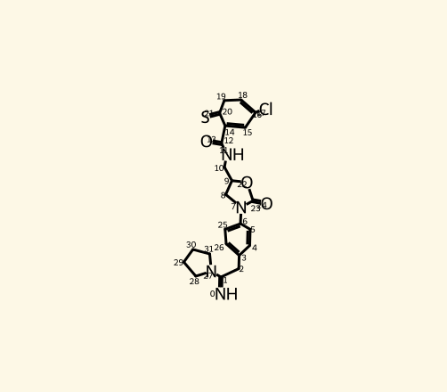 N=C(Cc1ccc(N2CC(CNC(=O)C3=CC(Cl)=CCC3=S)OC2=O)cc1)N1CCCC1